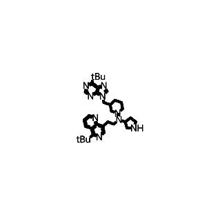 CC(C)(C)c1ncc(CCN(C2CCNC2)N2CCCC(Cn3cnc4c(C(C)(C)C)ncnc43)C2)c2ncccc12